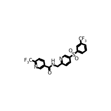 O=C(NCc1ccc(S(=O)(=O)c2cccc(C(F)(F)F)c2)cn1)c1ccc(C(F)(F)F)nc1